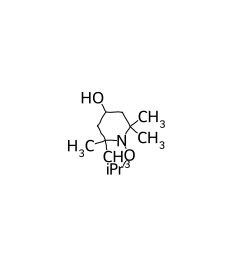 CC(C)ON1C(C)(C)CC(O)CC1(C)C